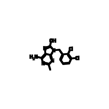 Cc1nc(N)c2nc(O)n(Cc3cccc(Cl)c3Cl)c2n1